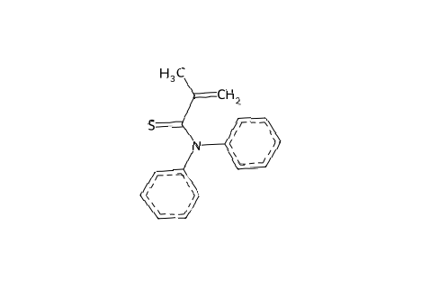 C=C(C)C(=S)N(c1ccccc1)c1ccccc1